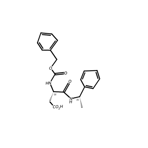 C[C@H](NC(=O)[C@H](CC(=O)O)NC(=O)OCc1ccccc1)c1ccccc1